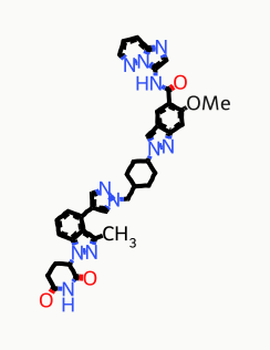 COc1cc2nn(C3CCC(Cn4cc(-c5cccc6c5c(C)nn6C5CCC(=O)NC5=O)cn4)CC3)cc2cc1C(=O)Nc1cnc2cccnn12